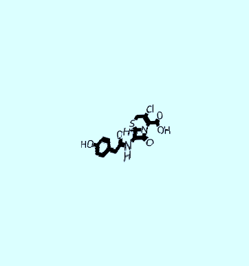 O=C(Cc1ccc(O)cc1)NC1C(=O)N2C(C(=O)O)=C(Cl)CS[C@@H]12